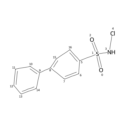 O=S(=O)(NCl)c1ccc(-c2ccccc2)cc1